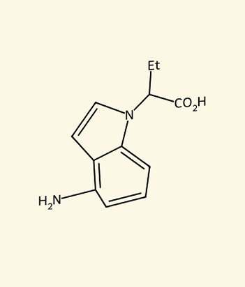 CCC(C(=O)O)n1ccc2c(N)cccc21